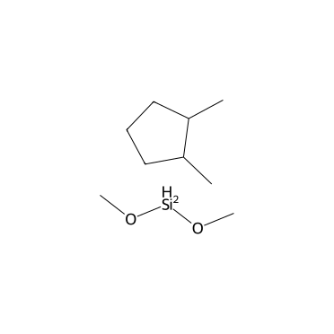 CC1CCCC1C.CO[SiH2]OC